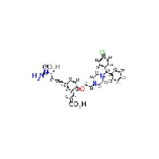 CC(=Cc1cc(C#CCCN(N)C(=O)O)ccc1OCCN1CCN([C@H](c2ccccc2)c2ccc(Cl)cc2)CC1)C(=O)O